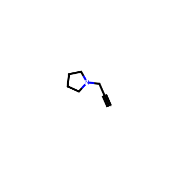 [C]#CCN1CCCC1